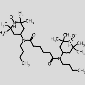 CCCCN(C(=O)CCCCC(=O)N(CCCC)C1CC(C)(C)[NH+]([O-])C(C)(C)C1)C1CC(C)(C)[NH+]([O-])C(C)(C)C1